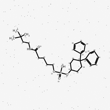 CC(C)(C)CCNC(=O)CCCCOP(=O)(O)OC1CCC(c2ccccc2)(c2ccccc2)CC1